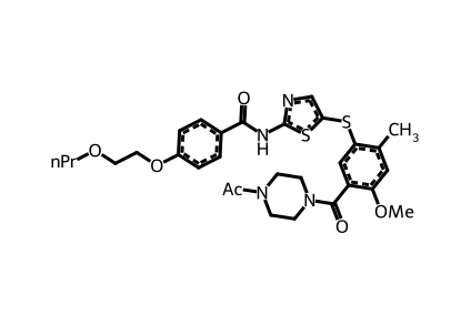 CCCOCCOc1ccc(C(=O)Nc2ncc(Sc3cc(C(=O)N4CCN(C(C)=O)CC4)c(OC)cc3C)s2)cc1